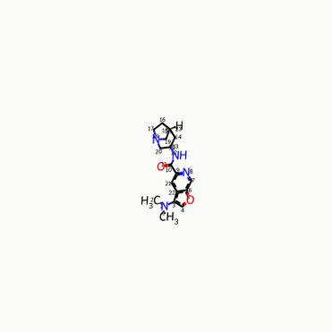 CN(C)c1coc2cnc(C(=O)N[C@@H]3C[C@H]4CCN(C4)C3)cc12